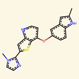 Cc1cc2cc(Oc3ccnc4cc(-c5nccn5C)sc34)ccc2[nH]1